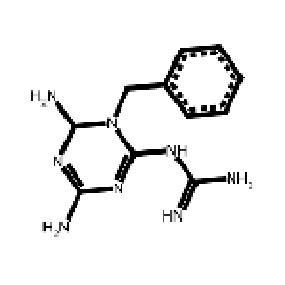 N=C(N)NC1=NC(N)=NC(N)N1Cc1ccccc1